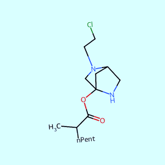 CCCCCC(C)C(=O)OC12CC(CN1)N(CCCl)C2